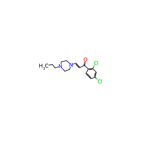 CCCN1CCN(C=CC(=O)c2ccc(Cl)cc2Cl)CC1